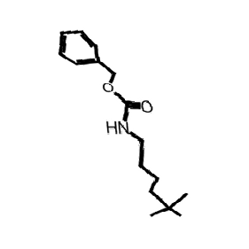 CC(C)(C)CCCCNC(=O)OCc1ccccc1